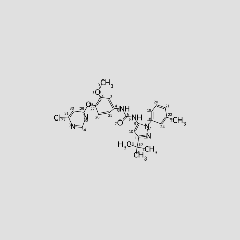 COc1cc(NC(=O)Nc2cc(C(C)(C)C)nn2-c2cccc(C)c2)ccc1Oc1cc(Cl)ncn1